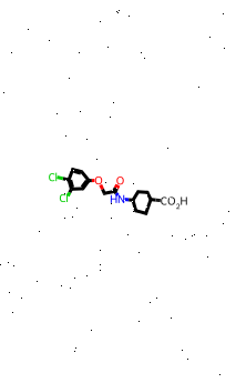 O=C(COc1ccc(Cl)c(Cl)c1)NC1CCC(C(=O)O)CC1